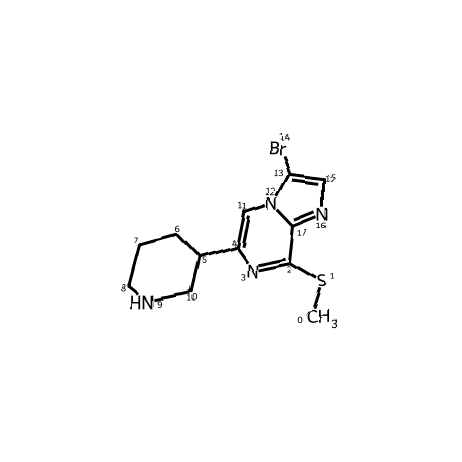 CSc1nc(C2CCCNC2)cn2c(Br)cnc12